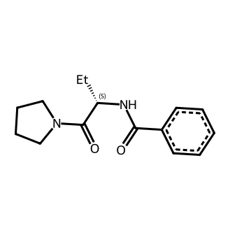 CC[C@H](NC(=O)c1ccccc1)C(=O)N1CCCC1